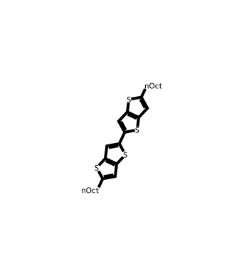 CCCCCCCCc1cc2sc(-c3cc4sc(CCCCCCCC)cc4s3)cc2s1